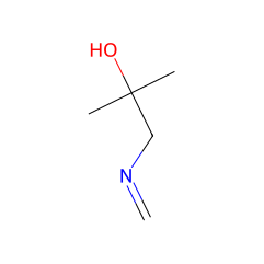 C=NCC(C)(C)O